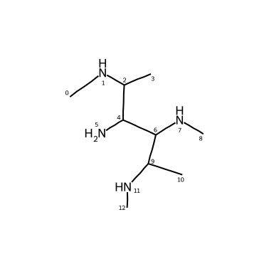 CNC(C)C(N)C(NC)C(C)NC